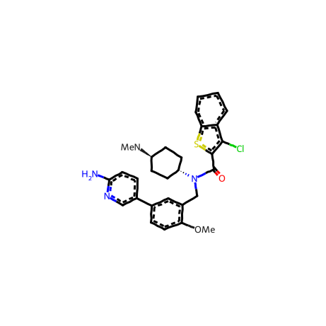 CN[C@H]1CC[C@H](N(Cc2cc(-c3ccc(N)nc3)ccc2OC)C(=O)c2sc3ccccc3c2Cl)CC1